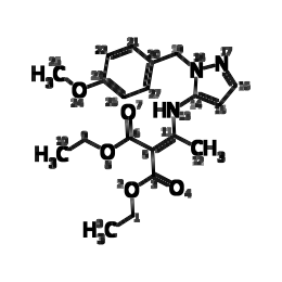 CCOC(=O)C(C(=O)OCC)=C(C)Nc1ccnn1Cc1ccc(OC)cc1